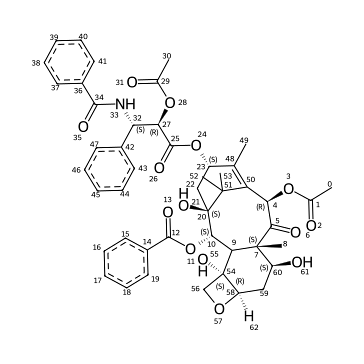 CC(=O)O[C@H]1C(=O)[C@@]2(C)C([C@H](OC(=O)c3ccccc3)[C@]3(O)C[C@H](OC(=O)[C@H](OC(C)=O)[C@@H](NC(=O)c4ccccc4)c4ccccc4)C(C)=C1C3(C)C)[C@]1(O)CO[C@@H]1C[C@@H]2O